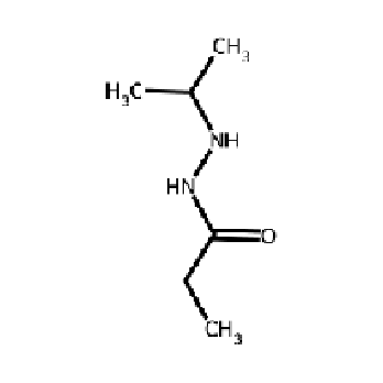 CCC(=O)NNC(C)C